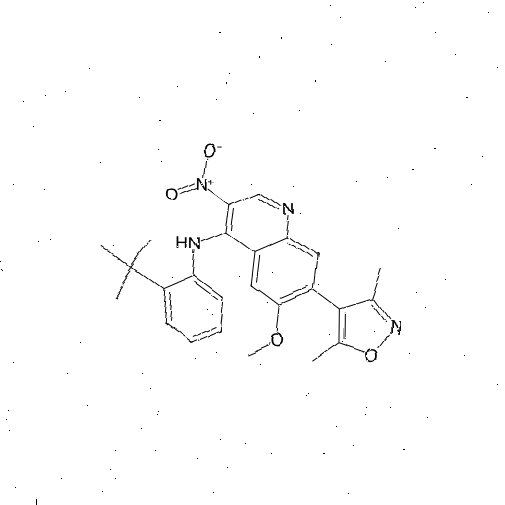 COc1cc2c(Nc3ccccc3C(C)(C)C)c([N+](=O)[O-])cnc2cc1-c1c(C)noc1C